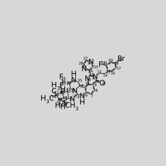 C[C@@H]1C(/N=C(/Nc2ccc3c(=O)n(CCc4ccc(Br)cc4F)c(-c4cnccn4)nc3c2)N2CCN[C@@H](C(F)F)C2)C[C@H]2C[C@@H]1C2(C)C